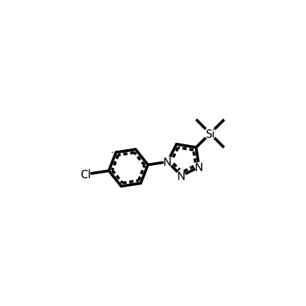 C[Si](C)(C)c1cn(-c2c[c]c(Cl)cc2)nn1